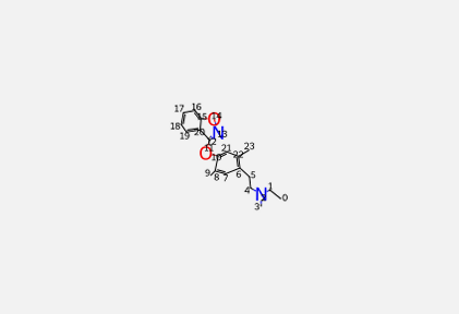 CCN(C)CCc1cc(C)c(Oc2noc3ccccc23)cc1C